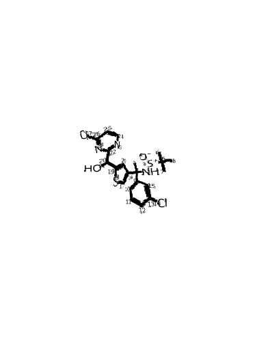 CC(N[S+]([O-])C(C)(C)C)(c1cccc(Cl)c1)c1csc(C(O)c2nccc(Cl)n2)c1